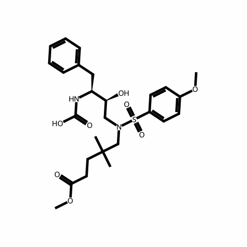 COC(=O)CCC(C)(C)CN(C[C@H](O)[C@H](Cc1ccccc1)NC(=O)O)S(=O)(=O)c1ccc(OC)cc1